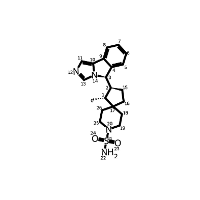 C[C@@H]1[C@@H]([C@@H]2c3ccccc3-c3cncn32)CCC12CCN(S(N)(=O)=O)CC2